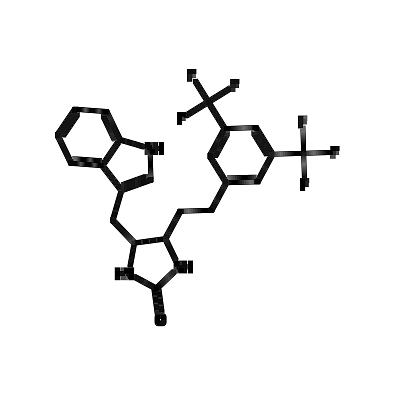 O=C1NC(CCc2cc(C(F)(F)F)cc(C(F)(F)F)c2)C(Cc2c[nH]c3ccccc23)N1